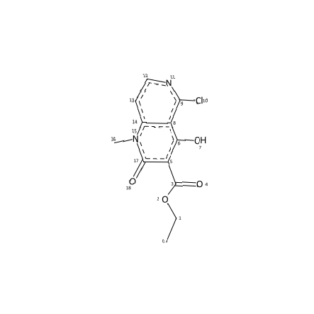 CCOC(=O)c1c(O)c2c(Cl)nccc2n(C)c1=O